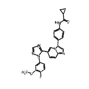 COc1cc(-n2ncnc2-c2ccc3ncc(-c4ccc(NC(=O)C5CC5)cc4)n3c2)ccc1F